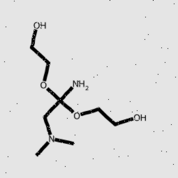 CN(C)CC(N)(OCCO)OCCO